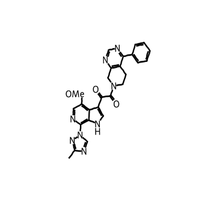 COc1cnc(-n2cnc(C)n2)c2[nH]cc(C(=O)C(=O)N3CCc4c(ncnc4-c4ccccc4)C3)c12